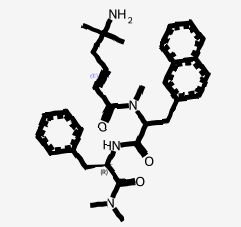 CN(C)C(=O)[C@@H](Cc1ccccc1)NC(=O)C(Cc1ccc2ccccc2c1)N(C)C(=O)/C=C/CC(C)(C)N